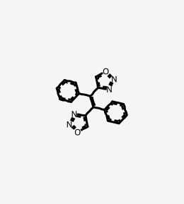 c1ccc(C(=C(c2ccccc2)c2conn2)c2conn2)cc1